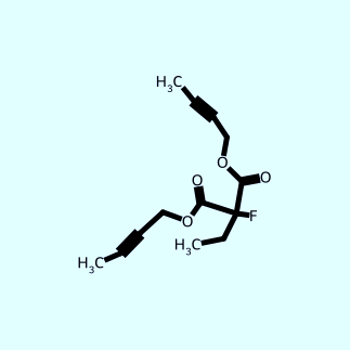 CC#CCOC(=O)C(F)(CC)C(=O)OCC#CC